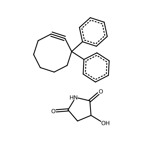 C1#CC(c2ccccc2)(c2ccccc2)CCCCC1.O=C1CC(O)C(=O)N1